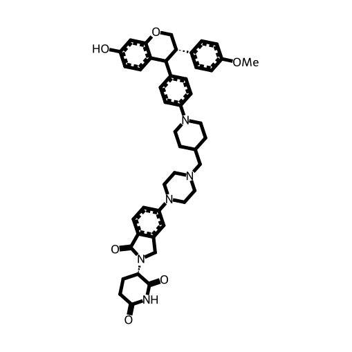 COc1ccc([C@H]2COc3cc(O)ccc3C2c2ccc(N3CCC(CN4CCN(c5ccc6c(c5)CN([C@H]5CCC(=O)NC5=O)C6=O)CC4)CC3)cc2)cc1